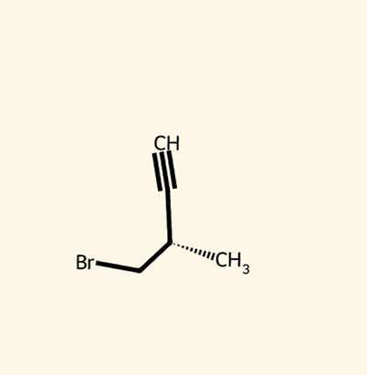 C#C[C@H](C)CBr